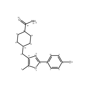 Cc1oc(-c2ccc(Cl)cc2)nc1CN1CCC(C(N)=O)CC1